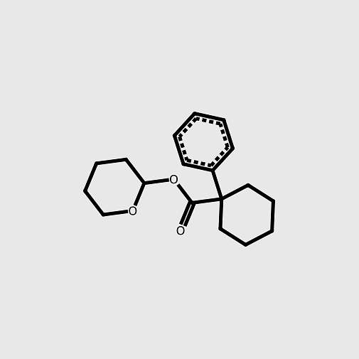 O=C(OC1CCCCO1)C1(c2ccccc2)CCCCC1